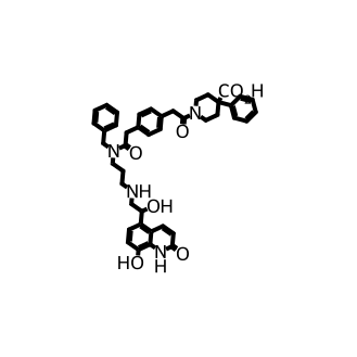 O=C(Cc1ccc(CC(=O)N(CCCNCC(O)c2ccc(O)c3[nH]c(=O)ccc23)Cc2ccccc2)cc1)N1CCC(C(=O)O)(c2ccccc2)CC1